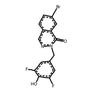 O=c1c2cc(Br)ccc2cnn1Cc1cc(F)c(O)c(F)c1